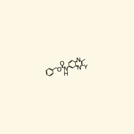 Cc1nc2ccc(NC(=O)OCc3ccccc3)cc2n[c]1[Y]